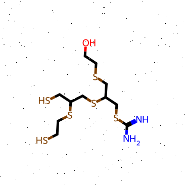 N=C(N)SCC(CSCCO)SCC(CS)SCCS